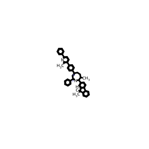 Cc1nc(-c2ccccc2)ccc1-c1ccc(/C2=C/C(c3ccccc3)=N\C(c3ccc4c(c3)C(C)(C)c3ccccc3-4)C(C)CC2)cc1